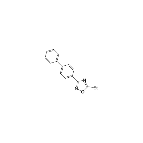 CCc1nc(-c2ccc(-c3ccccc3)cc2)no1